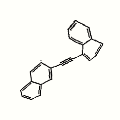 C(#Cc1cccc2ccccc12)c1[c]cc2ccccc2c1